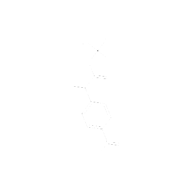 CC(C)(C)OC(=O)C(F)c1ccc([N+](=O)[O-])cc1